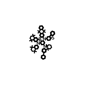 CC1(C)CCC(C)(C)c2cc(N3c4cc5c(cc4B4c6cc7c(cc6N(c6ccc8sc9ccccc9c8c6)c6cc(N8c9ccc(-c%10ccccc%10)cc9C9(C)CCCCC89C)cc3c64)C(C)(C)c3ccccc3C7(C)C)C(C)(C)CCC5(C)C)ccc21